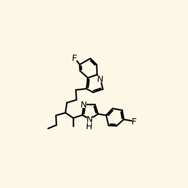 CCCC(CCCc1ccnc2ccc(F)cc12)C(C)c1ncc(-c2ccc(F)cc2)[nH]1